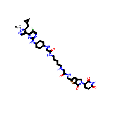 Cn1ncc(-c2nc(NC3CCC(NCC(=O)NCCCCCNCC(=O)NCc4cc5c(s4)C(=O)N(C4CCC(=O)NC4=O)C5)CC3)ncc2F)c1CC1CC1